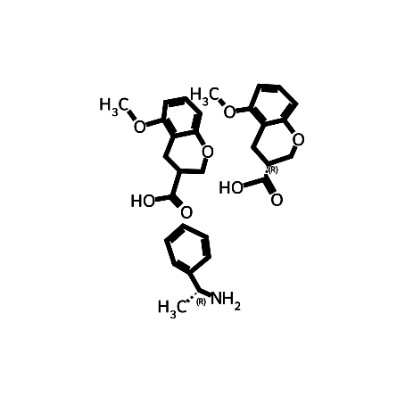 COc1cccc2c1CC(C(=O)O)CO2.COc1cccc2c1C[C@@H](C(=O)O)CO2.C[C@@H](N)c1ccccc1